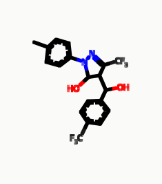 Cc1ccc(N2N=C(C(F)(F)F)C(C(O)c3ccc(C(F)(F)F)cc3)C2O)cc1